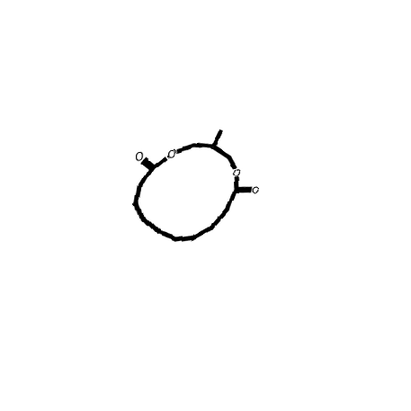 CC1COC(=O)CCCCCCCCC(=O)OC1